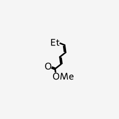 CC/C=C\C=C\C(=O)OC